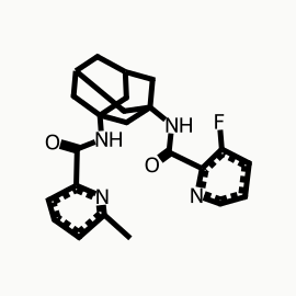 Cc1cccc(C(=O)NC23CC4CC(C2)CC(NC(=O)c2ncccc2F)(C4)C3)n1